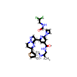 CCN(CC)C(C)CNC(=O)c1cc(-c2cnn3ccc(-c4cccs4)nc23)nc(N2CC[C@H]2C(=O)NCC(F)F)c1